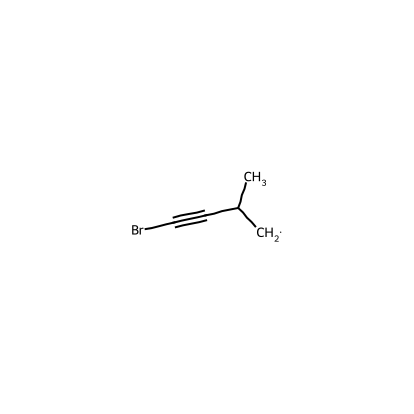 [CH2]C(C)C#CBr